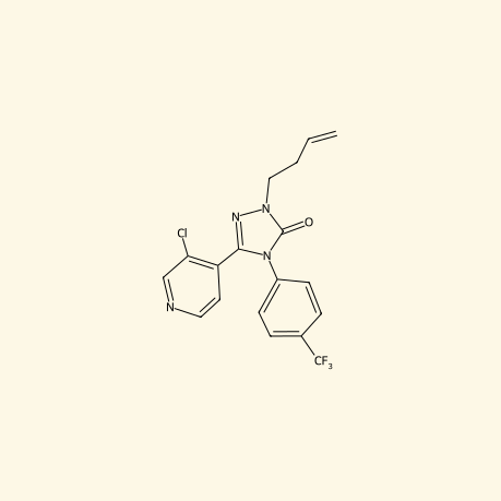 C=CCCn1nc(-c2ccncc2Cl)n(-c2ccc(C(F)(F)F)cc2)c1=O